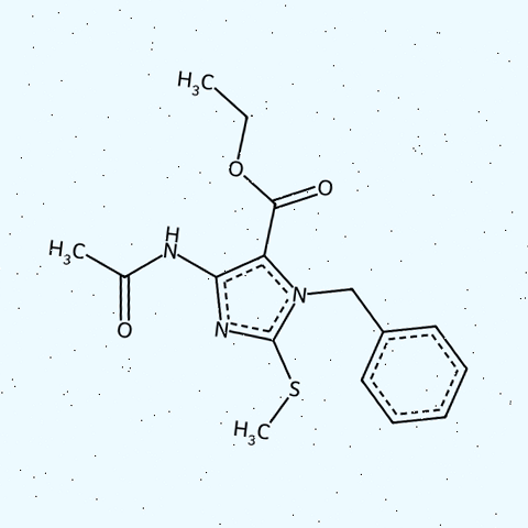 CCOC(=O)c1c(NC(C)=O)nc(SC)n1Cc1ccccc1